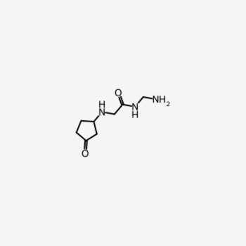 NCNC(=O)CNC1CCC(=O)C1